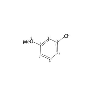 COc1[c]c(Cl)c[c]c1